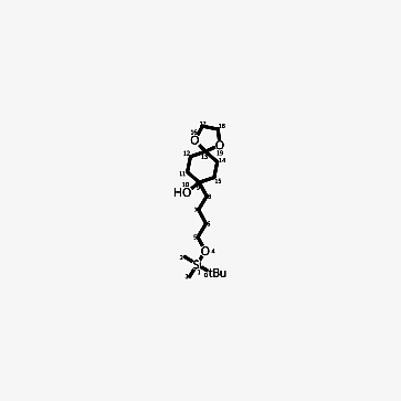 CC(C)(C)[Si](C)(C)OCCCCC1(O)CCC2(CC1)OCCO2